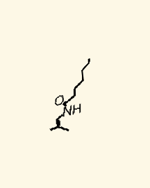 CCCCCCC(=O)NC=C(C)C